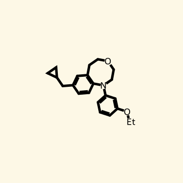 CCOc1cccc(N2CCOCCc3cc(CC4CC4)ccc32)c1